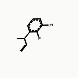 [CH2]C(C=C)c1cccc(O)c1Br